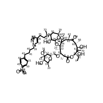 CC[C@H]1OC(=O)[C@H](C)[C@@H](OC[C@H]2C[C@@](C)(OC)[C@@H](O)[C@H](C)O2)[C@H](C)[C@@H](O[C@@H]2O[C@H](C)C[C@H](N(C)CCc3cn(CCCCc4ccc([N+](=O)[O-])cc4)nn3)[C@H]2O)[C@](C)(OC)C[C@@H](C)C(=O)[C@H](C)[C@@H](O)[C@]1(C)O